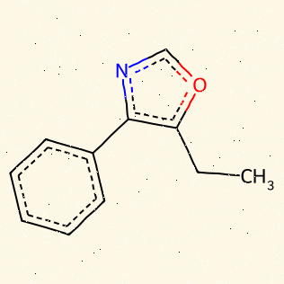 CCc1ocnc1-c1ccccc1